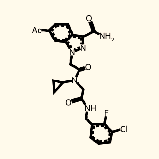 CC(=O)c1ccc2c(C(N)=O)nn(CC(=O)N(CC(=O)NCc3cccc(Cl)c3F)C3CC3)c2c1